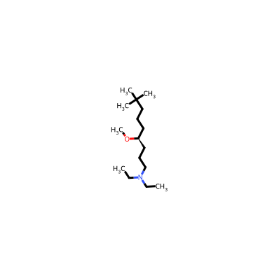 CCN(CC)CCC[C@H](CCCC(C)(C)C)OC